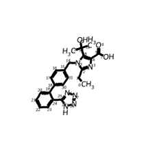 CCc1nc(C(=O)O)c(C(C)(C)O)n1Cc1ccc(-c2ccccc2-c2nnn[nH]2)cc1